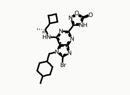 CC1CCC(Cn2c(Br)nc3nc(-c4noc(=O)[nH]4)nc(N[C@H](C)C4CCC4)c32)CC1